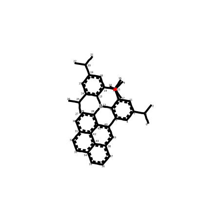 CC(C)c1cc2c(c(C(C)C)c1)B(c1c(C(C)C)cc(C(C)C)cc1C(C)C)c1ccc3ccc4cccc5cc-2c1c3c45